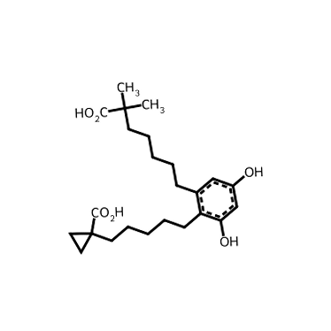 CC(C)(CCCCCc1cc(O)cc(O)c1CCCCCC1(C(=O)O)CC1)C(=O)O